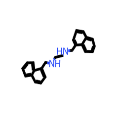 c1ccc2c(CNCCNCc3cccc4ccccc34)cccc2c1